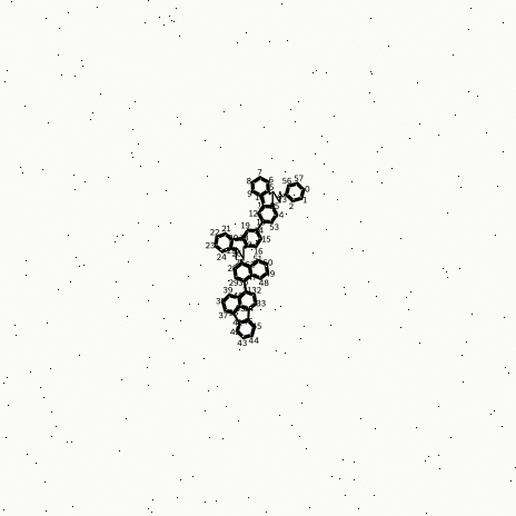 c1ccc(-n2c3ccccc3c3cc(-c4ccc5c(c4)c4ccccc4n5-c4ccc(-c5ccc6c7c(cccc57)-c5ccccc5-6)c5ccccc45)ccc32)cc1